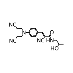 CC(O)CNC(=O)/C(C#N)=C/c1ccc(N(CCC#N)CCC#N)cc1